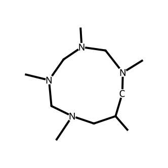 CC1CN(C)CN(C)CN(C)CN(C)C1